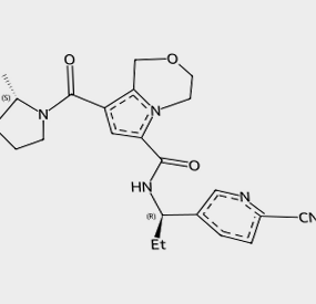 CC[C@@H](NC(=O)c1cc(C(=O)N2CCC[C@@H]2C)c2n1CCOC2)c1ccc(C#N)nc1